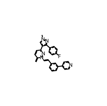 C=C1C=CC(c2cn(C)nc2-c2ccc(F)cc2)=NN1/C=C/c1cccc(-c2ccncc2)c1